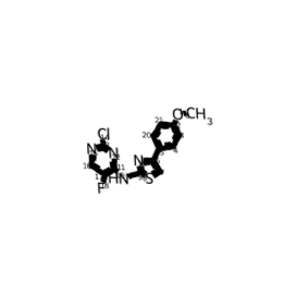 COc1ccc(-c2csc(Nc3nc(Cl)ncc3F)n2)cc1